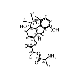 Cc1ccc(O)c2c1[C@]13CCN(C)[C@H](C)[C@]1(O)CC=C(OC(=O)[C@H](C)OC(=O)[C@H](C)N)[C@@H]3O2